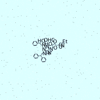 CCc1cc([C@H]2O[C@@H](n3cnc4c(NCC(c5ccccc5)c5ccccc5)nc(N(CO)CCc5ccccc5)nc43)[C@H](O)[C@@H]2OC=O)on1